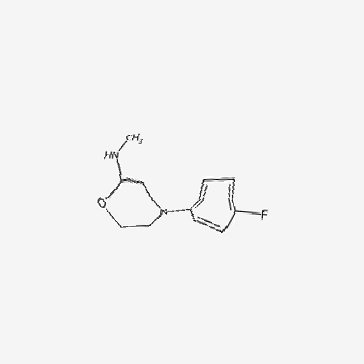 CNC1CN(c2ccc(F)cc2)CCO1